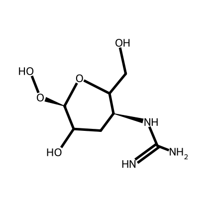 N=C(N)N[C@H]1CC(O)[C@@H](OO)OC1CO